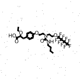 CCCCNC(=O)N(CCOc1ccc(CC(OCC)C(=O)O)cc1)CCOC(F)(F)C(F)(F)C(F)(F)C(F)(F)F